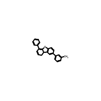 Cc1cccc(-c2ccc3c(c2)C2CC=CC(c4ccccc4)=C2O3)c1